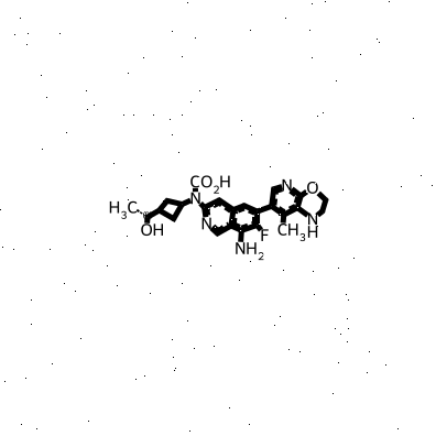 Cc1c(-c2cc3cc(N(C(=O)O)C4CC([C@@H](C)O)C4)ncc3c(N)c2F)cnc2c1NCCO2